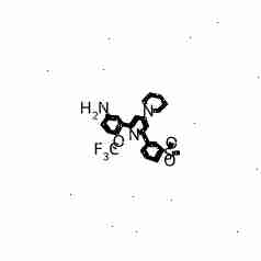 CS(=O)(=O)c1cccc(-c2cc(N3CCCCC3)cc(-c3cc(N)ccc3OC(F)(F)F)n2)c1